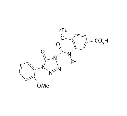 CCCCOc1ccc(C(=O)O)cc1N(CC)C(=O)n1nnn(-c2ccccc2OC)c1=O